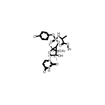 CC(=O)O[C@]12C(OP(=O)(NC(C)C(=O)OC(C)C)Oc3ccc(Cl)cc3)[C@@]1(F)O[C@@H](n1ccc(=O)[nH]c1=O)[C@]2(C)O